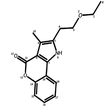 CCOCCc1[nH]c2c(c1C)c(=O)oc1ccccc12